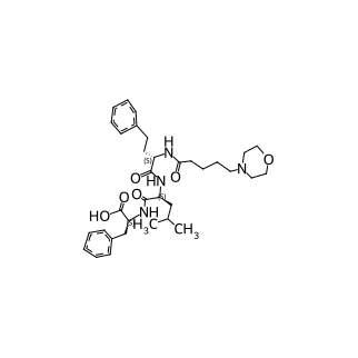 CC(C)C[C@H](NC(=O)[C@H](CCc1ccccc1)NC(=O)CCCCN1CCOCC1)C(=O)N[C@@H](Cc1ccccc1)C(=O)O